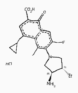 CC[C@H]1CN(c2c(F)cn3c(=O)c(C(=O)O)cc(C4CC4)c3c2C)C[C@@H]1N.Cl